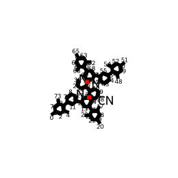 Cc1cc(C)c(-c2ccc3c(c2)c2cc(-c4c(C)cc(C)cc4C)ccc2n3-c2ccncc2-c2ccc(C#N)cc2-n2c3ccc(-c4c(C)cc(C)cc4C)cc3c3cc(-c4c(C)cc(C)cc4C)ccc32)c(C)c1